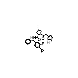 O=C(N[C@@H](c1ccccc1)c1ccc(C2CC2)c(F)c1)[C@@H]1C[C@@H](F)CN1C(=O)Cc1ccn[nH]1